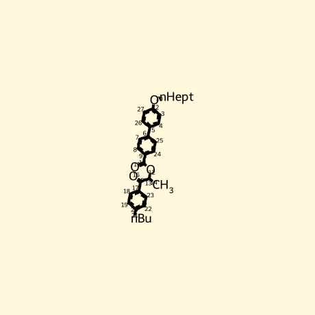 CCCCCCCOc1ccc(-c2ccc(C(=O)OC(C)C(=O)c3ccc(CCCC)cc3)cc2)cc1